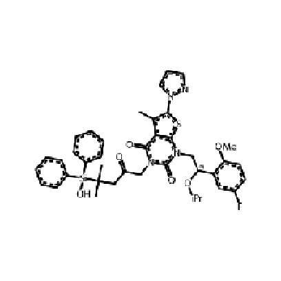 COc1ccc(F)cc1[C@H](Cn1c(=O)n(CC(=O)CC(C)(C)[Si](O)(c2ccccc2)c2ccccc2)c(=O)c2c(C)c(-n3cccn3)sc21)OC(C)C